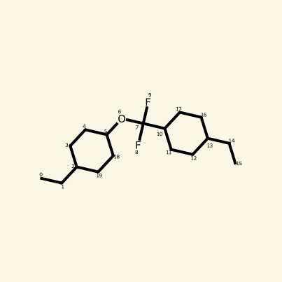 CCC1CCC(OC(F)(F)C2CCC(CC)CC2)CC1